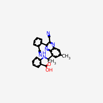 Cc1cc([C@@H](C)Nc2ccccc2C(=O)O)c2nc(-c3ccccc3C#N)c(C#N)nc2c1